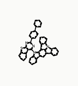 c1ccc(-c2ccc(-c3nc(-n4c5ccccc5c5cc6c7ccccc7n7c8ccccc8c(c54)c67)c4c(n3)sc3ccccc34)cc2)cc1